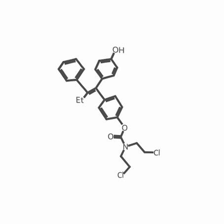 CCC(=C(c1ccc(O)cc1)c1ccc(OC(=O)N(CCCl)CCCl)cc1)c1ccccc1